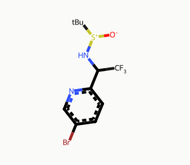 CC(C)(C)[S+]([O-])NC(c1ccc(Br)cn1)C(F)(F)F